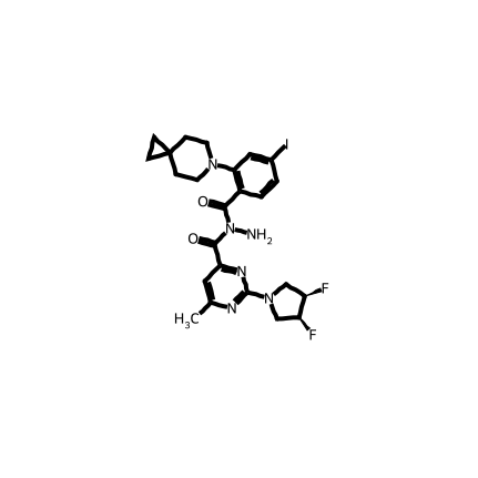 Cc1cc(C(=O)N(N)C(=O)c2ccc(I)cc2N2CCC3(CC2)CC3)nc(N2C[C@@H](F)[C@@H](F)C2)n1